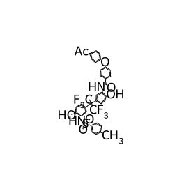 CC(=O)c1ccc(Oc2ccc(C(=O)Nc3cc(C(c4ccc(O)c(NS(=O)(=O)c5ccc(C)cc5)c4)(C(F)(F)F)C(F)(F)F)ccc3O)cc2)cc1